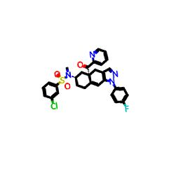 CN([C@H]1CCC2=Cc3c(cnn3-c3ccc(F)cc3)C[C@]2(C(=O)c2ccccn2)C1)S(=O)(=O)c1cccc(Cl)c1